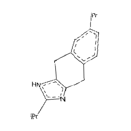 CC(C)c1ccc2c(c1)Cc1[nH]c(C(C)C)nc1C2